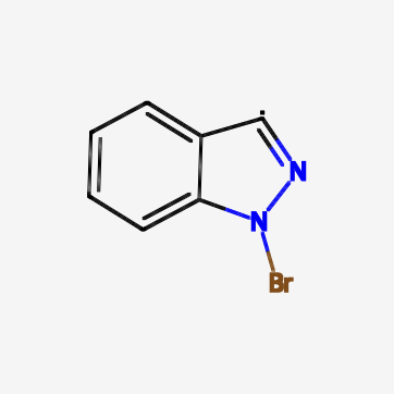 Brn1n[c]c2ccccc21